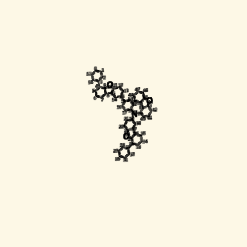 c1ccc(-c2cccc3c2oc2ccc(-c4ccc(N(c5ccc6oc7c(-c8ccccc8)cccc7c6c5)c5cccc6oc7ccccc7c56)cc4)cc23)cc1